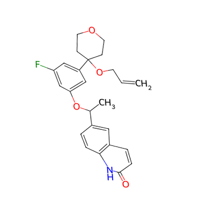 C=CCOC1(c2cc(F)cc(OC(C)c3ccc4[nH]c(=O)ccc4c3)c2)CCOCC1